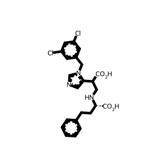 O=C(O)C(CN[C@@H](CCc1ccccc1)C(=O)O)c1cncn1Cc1cc(Cl)cc(Cl)c1